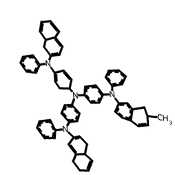 CC1C=Cc2ccc(N(c3ccccc3)c3ccc(N(c4ccc(N(C5=CCC6C=CCCC6=C5)c5ccccc5)cc4)C4C=CC(N(C5=CC=C6C=CC=CC6C5)c5ccccc5)=CC4)cc3)cc2C1